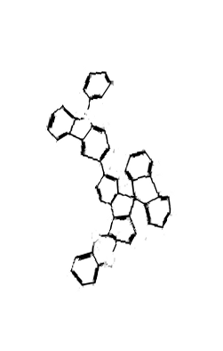 c1ccc(-n2c3ccccc3c3cc(-c4ccc5c(c4)C4(c6ccccc6-c6ccccc64)c4ccc6c(c4-5)Oc4ccccc4O6)ccc32)cc1